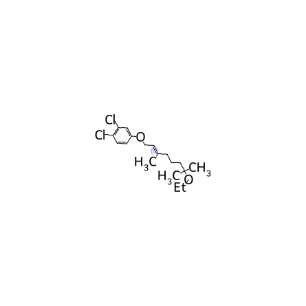 CCOC(C)(C)CCC/C(C)=C/COc1ccc(Cl)c(Cl)c1